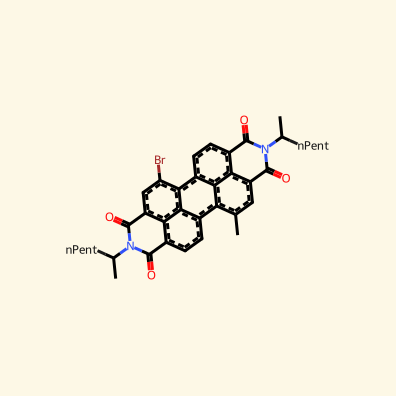 CCCCCC(C)N1C(=O)c2ccc3c4c(Br)cc5c6c(ccc(c7c(C)cc(c2c37)C1=O)c64)C(=O)N(C(C)CCCCC)C5=O